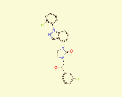 O=C(CN1CCN(c2cccc3c2cnn3-c2ccccc2F)C1=O)c1cccc(F)c1